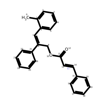 Cc1ccccc1C=C(COC(=O)/C=C/c1ccccc1)c1ccccc1